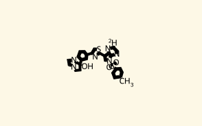 [2H]c1cnc2c(n1)c(-c1nc(-c3cccc([C@]4(O)CCn5ccnc54)c3)cs1)cn2S(=O)(=O)c1ccc(C)cc1